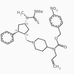 C=CCN(C(=O)OCc1ccc([N+](=O)[O-])cc1)C1CCN(C[C@H]2C[C@@H](N(C)C(=S)NC)C[C@@H]2c2ccccc2)CC1